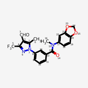 Cc1c(C=O)c(C(F)(F)F)nn1-c1cccc(C(=O)N(C)c2ccc3c(c2)OCO3)c1